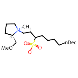 CCCCCCCCCCCCCCC(CC[N+]1(C)CCC[C@H]1COC)S(=O)(=O)[O-]